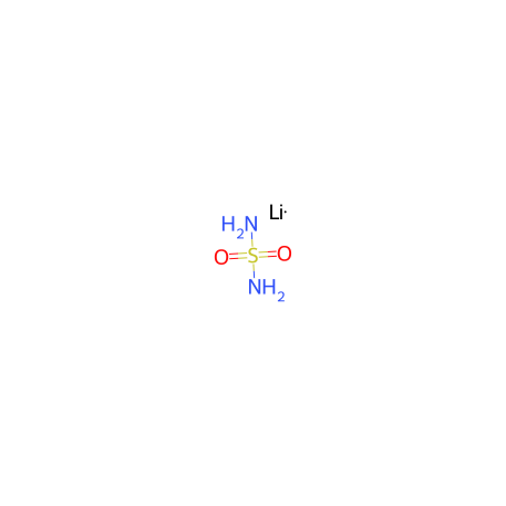 NS(N)(=O)=O.[Li]